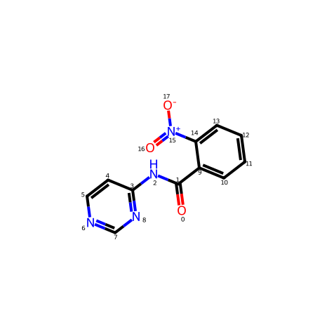 O=C(Nc1ccncn1)c1ccccc1[N+](=O)[O-]